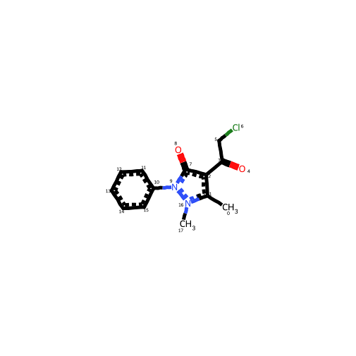 Cc1c(C(=O)CCl)c(=O)n(-c2ccccc2)n1C